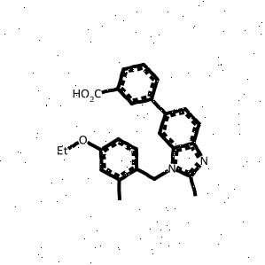 CCOc1ccc(Cn2c(C)nc3ccc(-c4cccc(C(=O)O)c4)cc32)c(C)c1